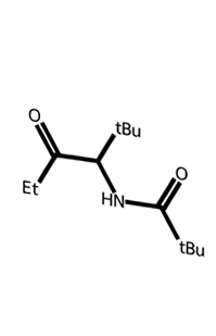 CCC(=O)C(NC(=O)C(C)(C)C)C(C)(C)C